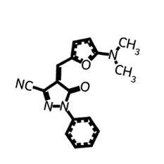 CN(C)c1ccc(C=C2C(=O)N(c3ccccc3)N=C2C#N)o1